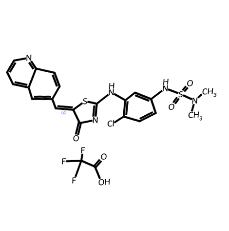 CN(C)S(=O)(=O)Nc1ccc(Cl)c(NC2=NC(=O)/C(=C/c3ccc4ncccc4c3)S2)c1.O=C(O)C(F)(F)F